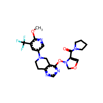 COc1ncc(N2CCc3ncnc(ON4COC=C4C(=O)N4CCCC4)c3C2)cc1C(F)(F)F